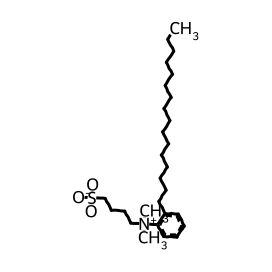 CCCCCCCCCCCCCCCCc1ccccc1[N+](C)(C)CCCCS(=O)(=O)[O-]